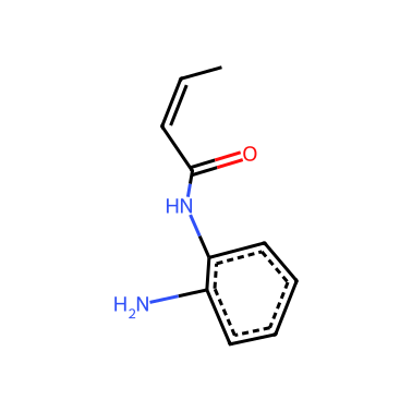 C/C=C\C(=O)Nc1ccccc1N